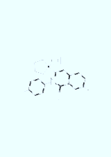 O=c1c2cc(F)ccc2cc(C2(O)CCCC2)n1-c1ccc(F)cc1